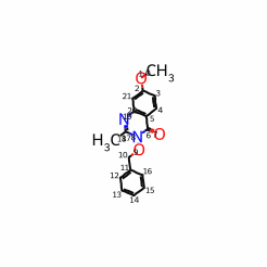 COc1ccc2c(=O)n(OCc3ccccc3)c(C)nc2c1